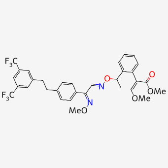 COC=C(C(=O)OC)c1ccccc1C(C)ON=CC(=NOC)c1ccc(CCc2cc(C(F)(F)F)cc(C(F)(F)F)c2)cc1